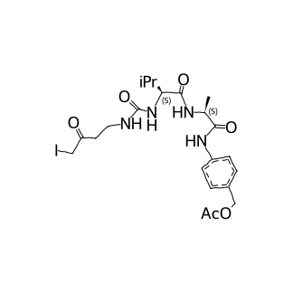 CC(=O)OCc1ccc(NC(=O)[C@H](C)NC(=O)[C@@H](NC(=O)NCCC(=O)CI)C(C)C)cc1